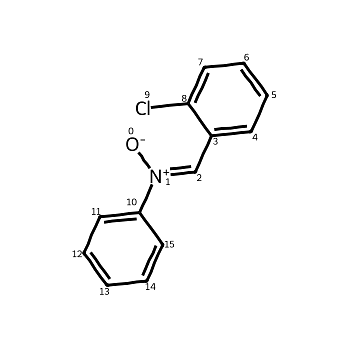 [O-][N+](=Cc1ccccc1Cl)c1ccccc1